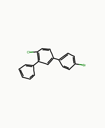 Clc1ccc(-c2ccc(Br)cc2)cc1-c1ccccc1